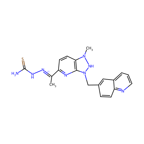 C/C(=N\NC(N)=S)c1ccc2c(n1)N(Cc1ccc3ncccc3c1)NN2C